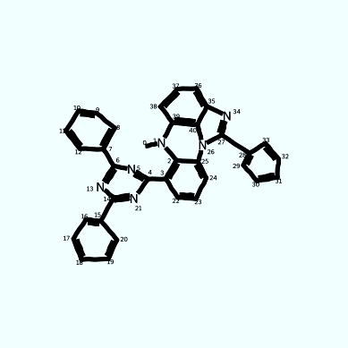 CN1c2c(-c3nc(-c4ccccc4)nc(-c4ccccc4)n3)cccc2-n2c(-c3ccccc3)nc3cccc1c32